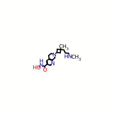 CNCCCC1(C)CC(N2CCc3cc(C(=O)NO)cnc3C2)C1